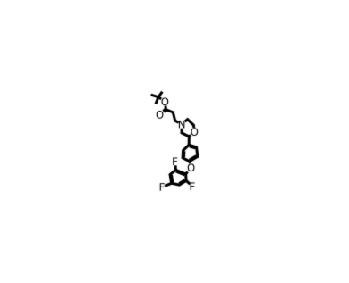 CC(C)(C)OC(=O)CCN1CCOC(c2ccc(Oc3c(F)cc(F)cc3F)cc2)C1